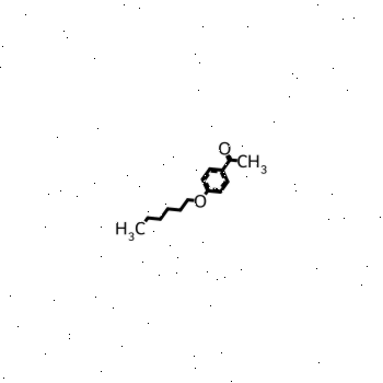 CCCCCCOc1ccc(C(C)=O)cc1